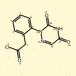 O=C(Cl)Cc1ccccc1-n1ncc(=O)[nH]c1=O